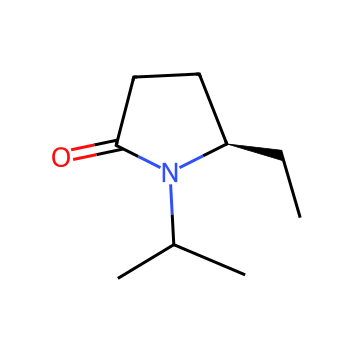 CC[C@@H]1CCC(=O)N1C(C)C